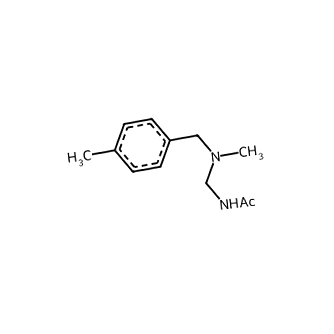 CC(=O)NCN(C)Cc1ccc(C)cc1